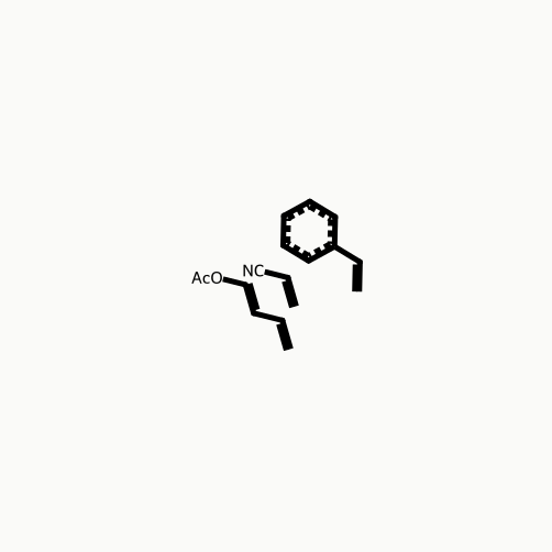 C=CC#N.C=CC=COC(C)=O.C=Cc1ccccc1